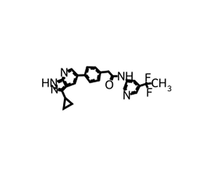 CC(F)(F)c1cncc(NC(=O)Cc2ccc(-c3cnc4[nH]nc(C5CC5)c4c3)cc2)c1